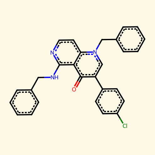 O=c1c(-c2ccc(Cl)cc2)cn(Cc2ccccc2)c2ccnc(NCc3ccccc3)c12